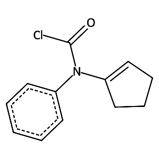 O=C(Cl)N(C1=CCCC1)c1ccccc1